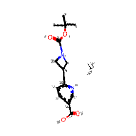 CC(C)(C)OC(=O)N1CC(c2ccc(C(=O)[O-])cn2)C1.[Li+]